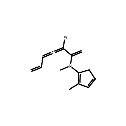 C=CC=C=C(CC)C(=C)N(C)C1=C(C)C=CC1